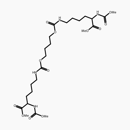 COC(=O)NC(CCCCNC(=O)OCCCCOC(=O)NCCCCC(NC(=O)OC)C(=O)OC)C(=O)OC